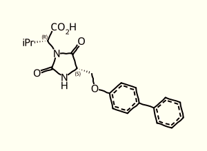 CC(C)[C@H](C(=O)O)N1C(=O)N[C@@H](COc2ccc(-c3ccccc3)cc2)C1=O